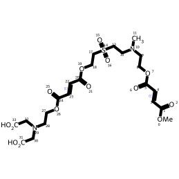 COC(=O)/C=C/C(=O)OCCN(C)CCS(=O)(=O)CCOC(=O)/C=C/C(=O)OCCN(CC(=O)O)CC(=O)O